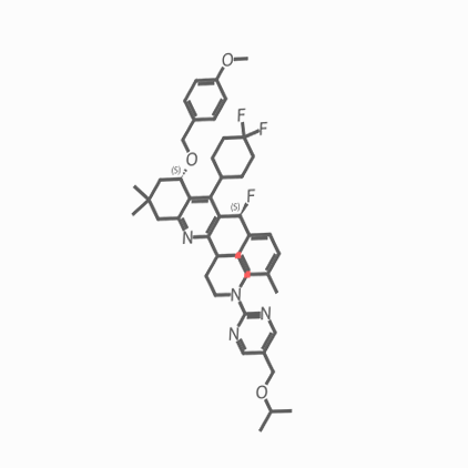 COc1ccc(CO[C@H]2CC(C)(C)Cc3nc(C4CCN(c5ncc(COC(C)C)cn5)CC4)c([C@@H](F)c4ccc(C)cc4)c(C4CCC(F)(F)CC4)c32)cc1